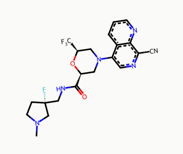 CN1CC[C@@](F)(CNC(=O)[C@@H]2CN(c3cnc(C#N)c4ncccc34)C[C@H](C(F)(F)F)O2)C1